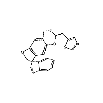 C1=Nc2ccccc2C12COc1cc3c(cc12)O[C@H](Cc1cncs1)OC3